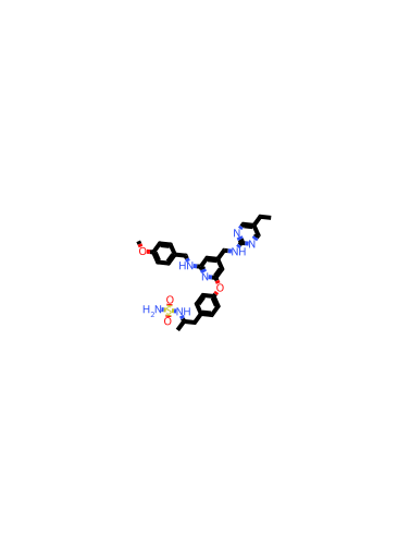 CCc1cnc(NCc2cc(NCc3ccc(OC)cc3)nc(Oc3ccc(CC(C)NS(N)(=O)=O)cc3)c2)nc1